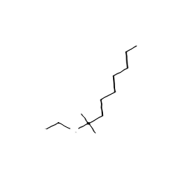 [Li][CH2][SiH2]C(C)(C)CCCCCCC